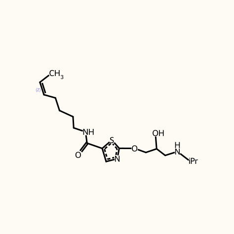 C/C=C\CCCCNC(=O)c1cnc(OCC(O)CNC(C)C)s1